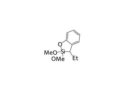 CCC1c2ccccc2O[Si]1(OC)OC